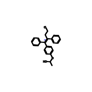 CC(O)Oc1ccc(/C(=C(/CCCl)c2ccccc2)c2ccccc2)cc1